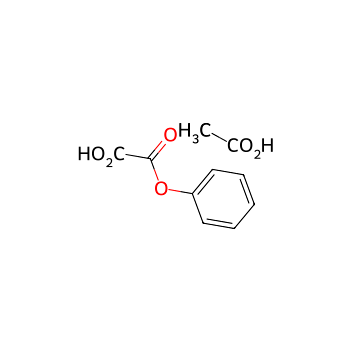 CC(=O)O.O=C(O)C(=O)Oc1ccccc1